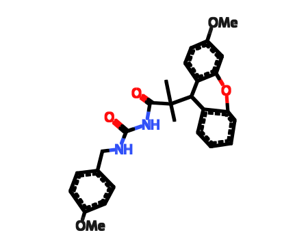 COc1ccc(CNC(=O)NC(=O)C(C)(C)C2c3ccccc3Oc3cc(OC)ccc32)cc1